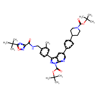 Cc1cc(-c2nn(C(=O)OC(C)(C)C)c3ncc(-c4ccc(C5CCN(C(=O)OC(C)(C)C)CC5)cc4)cc23)ccc1CNC(=O)c1noc(C(C)(C)C)n1